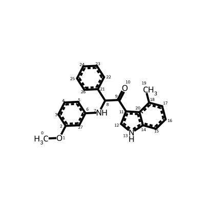 COc1cccc(NC(C(=O)c2c[nH]c3cccc(C)c23)c2ccccc2)c1